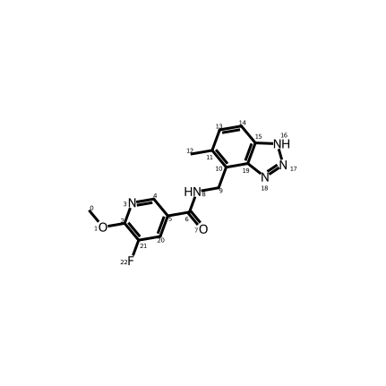 COc1ncc(C(=O)NCc2c(C)ccc3[nH]nnc23)cc1F